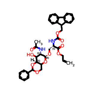 C=CCOC(=O)[C@H](CO[C@@H]1OC2COC(c3ccccc3)O[C@H]2C(O)[C@@H]1NC(C)=O)NC(=O)OCC1c2ccccc2-c2ccccc21